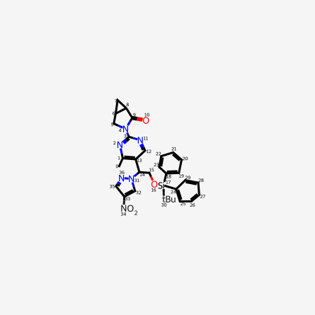 Cc1nc(N2CC3CC3C2=O)ncc1C(CO[Si](c1ccccc1)(c1ccccc1)C(C)(C)C)n1cc([N+](=O)[O-])cn1